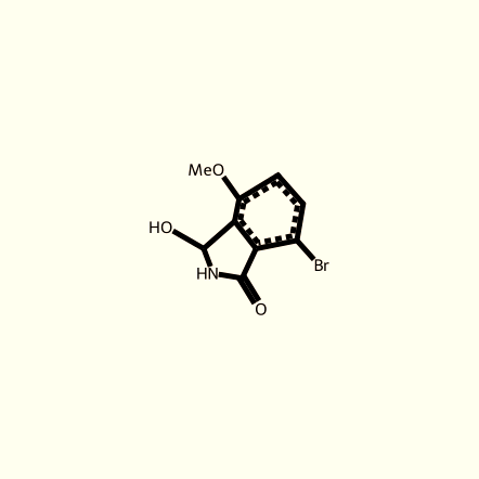 COc1ccc(Br)c2c1C(O)NC2=O